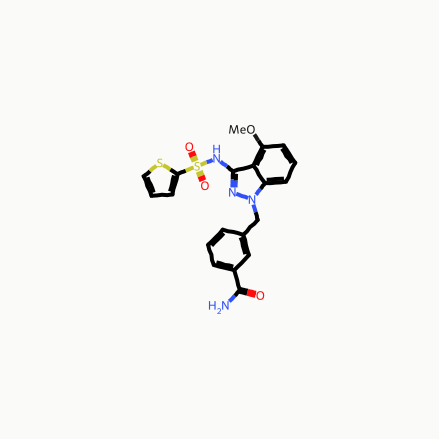 COc1cccc2c1c(NS(=O)(=O)c1cccs1)nn2Cc1cccc(C(N)=O)c1